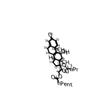 CCCCCC(=O)OCC(=O)[C@@]1(OC(=O)CCC)CC[C@H]2C3=C([C@@H](O)C[C@@]21C)[C@@]1(C)C=CC(=O)C=C1CC3